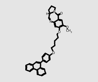 COc1cc2c(cc1OCCCCCOc1ccc(-c3cc4ccccc4c4ccccc34)cc1)N=C[C@@H]1CCCN1C2=O